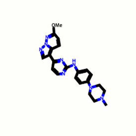 COc1ccc2c(-c3ccnc(Nc4ccc(N5CCN(C)CC5)cc4)n3)cnn2n1